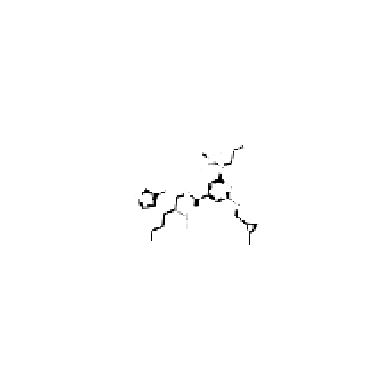 CCCC[C@H](N)[C@H](Cc1ccsc1)NC(=O)c1cc(NCC2CC2C)nc(N(CCC)S(C)(=O)=O)c1